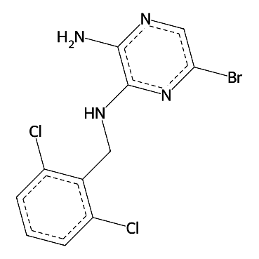 Nc1ncc(Br)nc1NCc1c(Cl)cccc1Cl